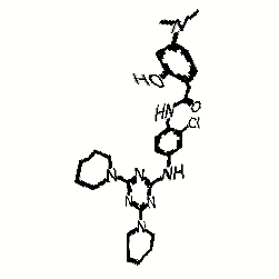 CN(C)c1ccc(C(=O)Nc2ccc(Nc3nc(N4CCCCC4)nc(N4CCCCC4)n3)cc2Cl)c(O)c1